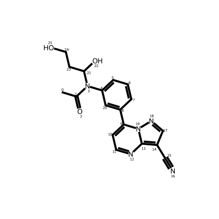 CC(=O)N(c1cccc(-c2ccnc3c(C#N)cnn23)c1)C(O)CCO